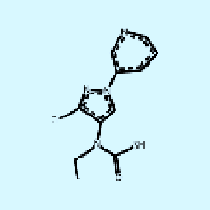 CCN(C(=O)S)c1cn(-c2cccnc2)nc1Cl